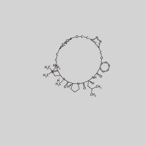 CC(C)C[C@H]1NC(=O)c2ccccc2OCc2cn(nn2)CCOc2ccc(cc2)CCNC(=O)[C@H](CC(C)(C)C)N(C)C(=O)[C@H]2CCCN2C1=O